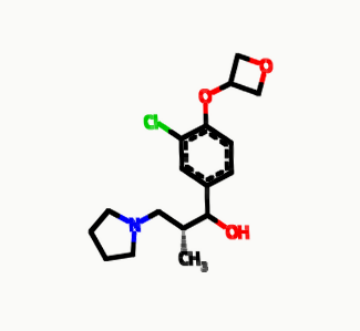 C[C@H](CN1CCCC1)C(O)c1ccc(OC2COC2)c(Cl)c1